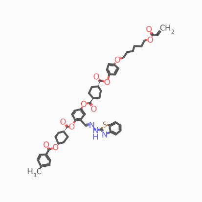 C=CC(=O)OCCCCCCOc1ccc(OC(=O)[C@H]2CC[C@H](C(=O)Oc3ccc(OC(=O)[C@H]4CC[C@H](OC(=O)c5ccc(C)cc5)CC4)c(/C=N/Nc4nc5ccccc5s4)c3)CC2)cc1